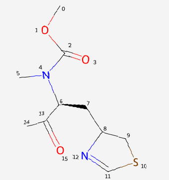 COC(=O)N(C)[C@@H](CC1CSC=N1)C(C)=O